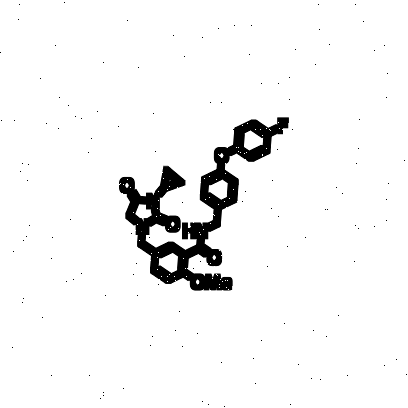 COc1ccc(CN2CC(=O)N(C3CC3)C2=O)cc1C(=O)NCc1ccc(Oc2ccc(F)cc2)cc1